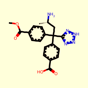 COC(=O)c1ccc(C(C[C@H](C)N)(c2ccc(C(=O)O)cc2)c2nn[nH]n2)cc1